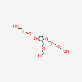 OCCOCCOCCOc1ccc(OCCOCCOCCO)c(CCOCCO)c1